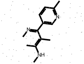 C/N=C(\C(C)=C(/C)NC)c1ccc(C)nc1